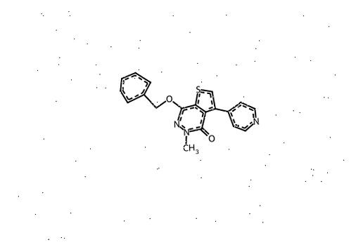 Cn1nc(OCc2ccccc2)c2scc(-c3ccncc3)c2c1=O